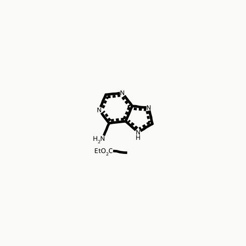 CCOC(C)=O.Nc1ncnc2nc[nH]c12